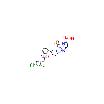 O=C(O)c1ccc2nc(CN3CCC(c4cccc5nc(Cc6ccc(Cl)cc6F)oc45)CC3)n(C[C@@H]3CCO3)c2n1